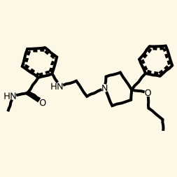 CCCOC1(c2ccccc2)CCN(CCNc2ccccc2C(=O)NC)CC1